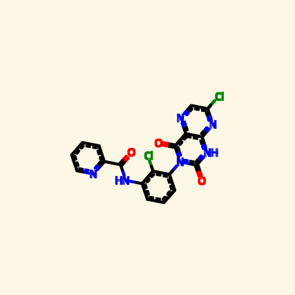 O=C(Nc1cccc(-n2c(=O)[nH]c3nc(Cl)cnc3c2=O)c1Cl)c1ccccn1